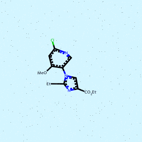 CCOC(=O)c1cn(-c2cnc(Cl)cc2OC)c(CC)n1